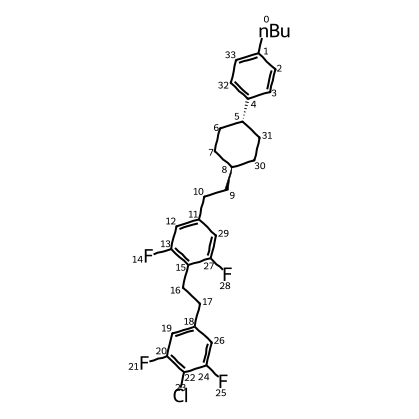 CCCCc1ccc([C@H]2CC[C@H](CCc3cc(F)c(CCc4cc(F)c(Cl)c(F)c4)c(F)c3)CC2)cc1